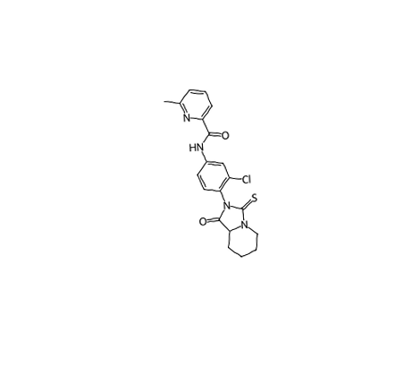 Cc1cccc(C(=O)Nc2ccc(N3C(=O)C4CCCCN4C3=S)c(Cl)c2)n1